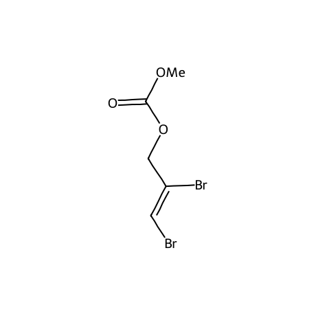 COC(=O)OCC(Br)=CBr